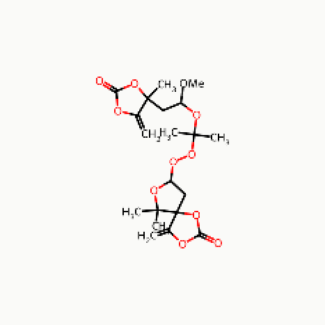 C=C1OC(=O)OC1(C)CC(OC)OC(C)(C)OOC1CC2(OC(=O)OC2=C)C(C)(C)O1